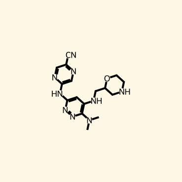 CN(C)c1nnc(Nc2cnc(C#N)cn2)cc1NCC1CNCCO1